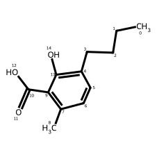 CCCCc1ccc(C)c(C(=O)O)c1O